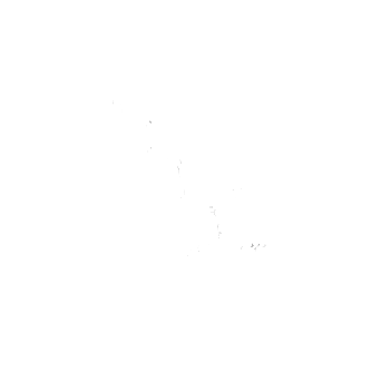 COC(=O)C(=O)CCCCI